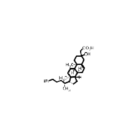 CC(C)CCC[C@@H](C)[C@H]1CC[C@H]2[C@@H]3CC=C4CC(O)(CC(=O)O)CC[C@]4(C)[C@H]3CC[C@]12C